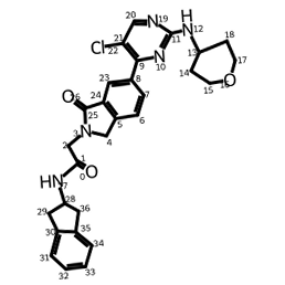 O=C(CN1Cc2ccc(-c3nc(NC4CCOCC4)ncc3Cl)cc2C1=O)NC1Cc2ccccc2C1